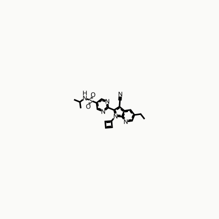 CCc1cnc2c(c1)c(C#N)c(-c1ncc(S(=O)(=O)NC(C)C)cn1)n2C1=CC=C1